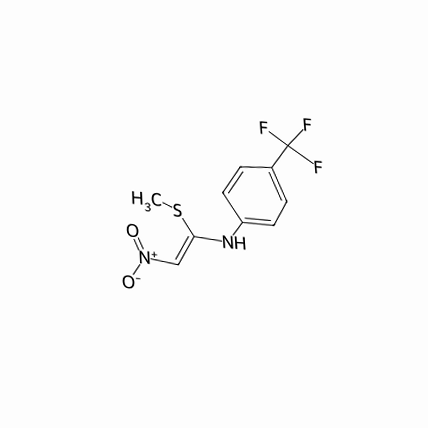 CSC(=C[N+](=O)[O-])Nc1ccc(C(F)(F)F)cc1